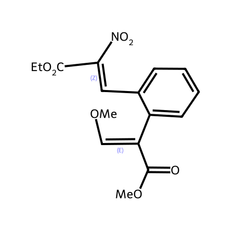 CCOC(=O)/C(=C/c1ccccc1/C(=C\OC)C(=O)OC)[N+](=O)[O-]